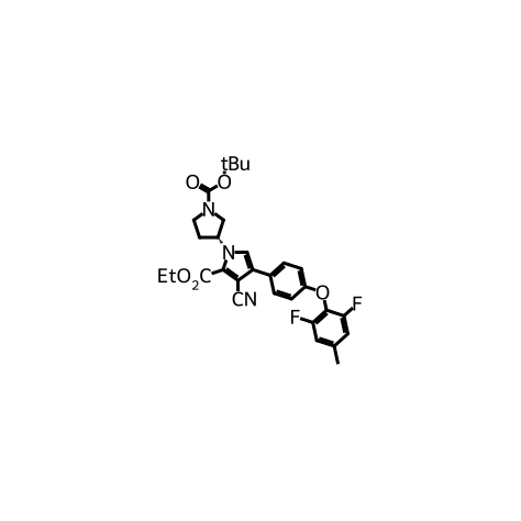 CCOC(=O)c1c(C#N)c(-c2ccc(Oc3c(F)cc(C)cc3F)cc2)cn1[C@@H]1CCN(C(=O)OC(C)(C)C)C1